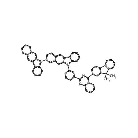 CC1(C)c2ccccc2-c2ccc(-c3nc(-c4cccc(-n5c6ccccc6c6cc7ccc(-n8c9ccccc9c9cc%10ccccc%10cc98)cc7cc65)c4)nc4ccccc34)cc21